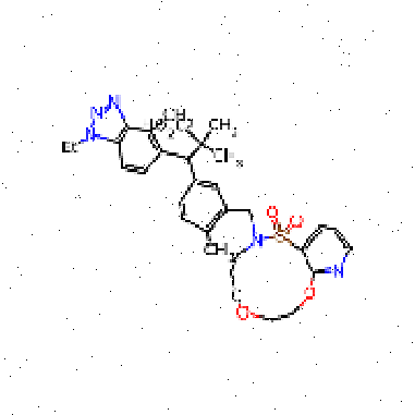 CCn1nnc2c(C)c(C(c3ccc(C)c(CN4CCCOCCOc5ncccc5S4(=O)=O)c3)C(C)(C)C(=O)O)ccc21